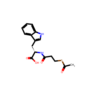 CC(=O)SCCC(=O)N[C@@H](Cc1c[nH]c2ccccc12)C(=O)O